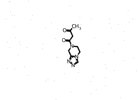 CC(=O)CC(=O)N1CCn2cnnc2C1